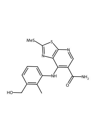 CSc1nc2c(Nc3cccc(CO)c3C)c(C(N)=O)cnc2s1